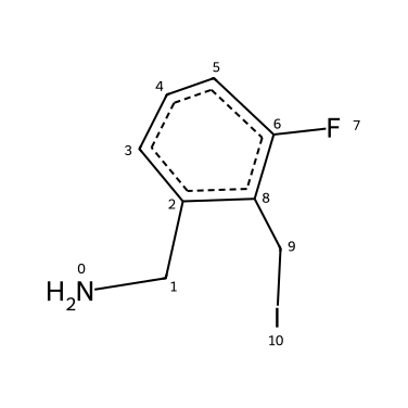 NCc1cccc(F)c1CI